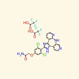 NC(=O)COc1cc(Cl)c(-c2nc3c([nH]2)-c2ccncc2Nc2ncccc2-3)c(Cl)c1.O=C(O)C(F)(F)F.O=C(O)C(F)(F)F